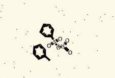 Cc1ccccc1.O=[SH](=O)OS(=O)(=O)c1ccccc1